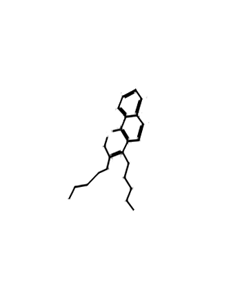 CCCCCC1=C(CCCCC)c2ccc3ccccc3c2OC1